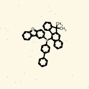 CC1(C)c2ccccc2-c2c1cc1ccccc1c2N(c1ccc(-c2ccccc2)cc1)c1ccc2oc3ccccc3c2c1